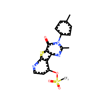 Cc1ccc(-n2c(C)nc3c(sc4nccc(OS(=O)(=O)C(F)(F)F)c43)c2=O)cc1